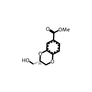 COC(=O)c1ccc2c(c1)O[C@@H](CO)CO2